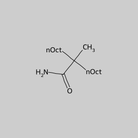 CCCCCCCCC(C)(CCCCCCCC)C(N)=O